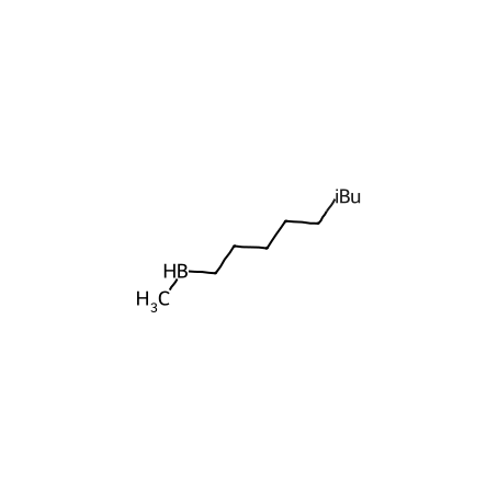 CBCCCCCC(C)CC